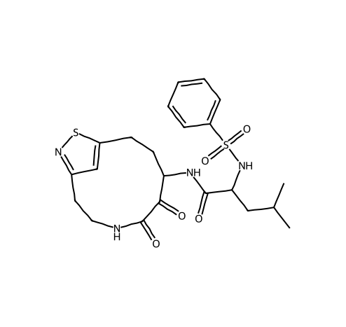 CC(C)CC(NS(=O)(=O)c1ccccc1)C(=O)NC1CCc2cc(ns2)CCNC(=O)C1=O